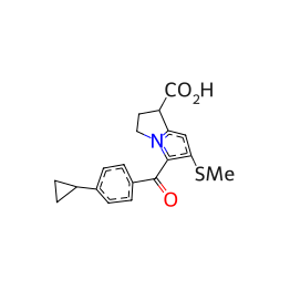 CSc1cc2n(c1C(=O)c1ccc(C3CC3)cc1)CCC2C(=O)O